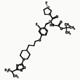 CC(C)c1noc(N2CCC(CCCOc3ccc(C[C@H](NC(=O)OC(C)(C)C)C(=O)N4CC[C@H](F)C4)c(F)c3)CC2)n1